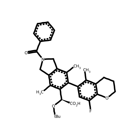 Cc1c(-c2c(C)c3c(c(C)c2[C@H](OC(C)(C)C)C(=O)O)CN(C(=O)c2ccccc2)C3)cc(F)c2c1CCCO2